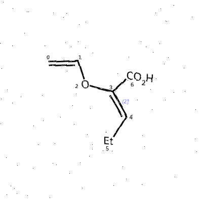 C=CO/C(=C\CC)C(=O)O